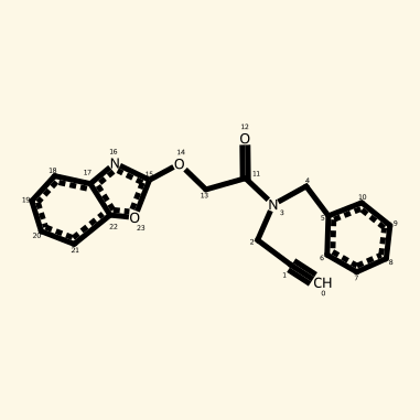 C#CCN(Cc1ccccc1)C(=O)COc1nc2ccccc2o1